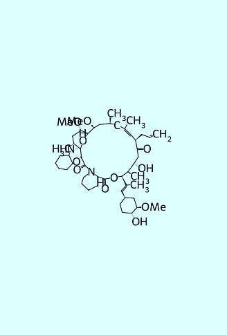 C=CC[C@@H]1/C=C(\C)C[C@H](C)C[C@H](OC)[C@H]2O[C@@](NC3CCCCC3)(C(=O)C(=O)N3CCCC[C@H]3C(=O)O[C@H](/C(C)=C/[C@@H]3CC[C@@H](O)[C@H](OC)C3)[C@H](C)[C@@H](O)CC1=O)[C@H](C)C[C@@H]2OC